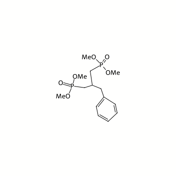 COP(=O)(CC(Cc1ccccc1)CP(=O)(OC)OC)OC